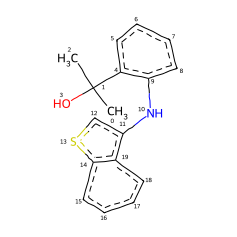 CC(C)(O)c1ccccc1Nc1csc2ccccc12